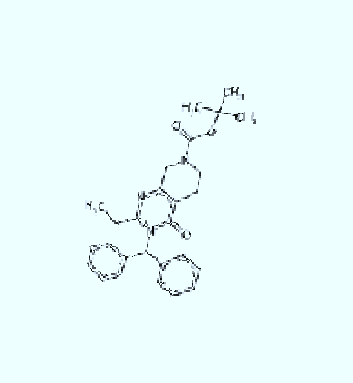 CCc1nc2c(c(=O)n1C(c1ccccc1)c1ccccc1)CCN(C(=O)OC(C)(C)C)C2